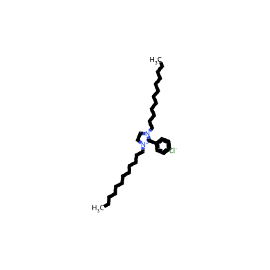 CCCCCCCCCCCCN1CC[N+](CCCCCCCCCCCC)=C1c1ccccc1.[Cl-]